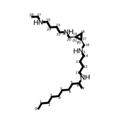 CCCCCCCCC(C)NCCCCNC[C@@H]1C[C@@H]1CNCCCCNCC